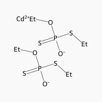 CCOP([O-])(=S)SCC.CCOP([O-])(=S)SCC.[Cd+2]